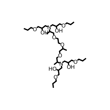 CCCOCC(O)CN(CC(O)COCCC)C(C)COCCOC(C)COCC(C)N(CC(O)COCCC)CC(O)COCCC